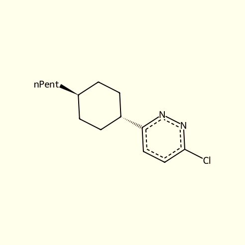 CCCCC[C@H]1CC[C@H](c2ccc(Cl)nn2)CC1